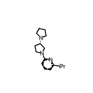 CC(C)c1cccc(N2CC[C@H](N3CCCC3)C2)n1